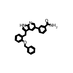 NC(=O)c1cccc(-c2cnc3[nH]cc(Cc4ccccc4OCc4ccccc4)c3c2)c1